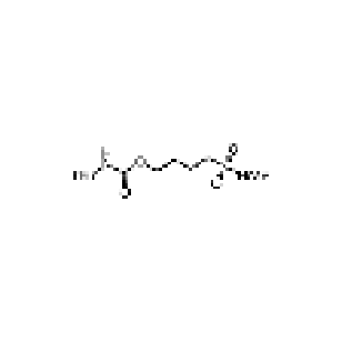 CNS(=O)(=O)CCCCOC(=O)NC(C)(C)C